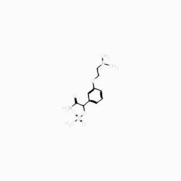 CN(C)CCOc1cccc(C(OS(C)(=O)=O)C(N)=O)c1